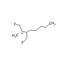 CCCCCC(CF)[C@H](C)CF